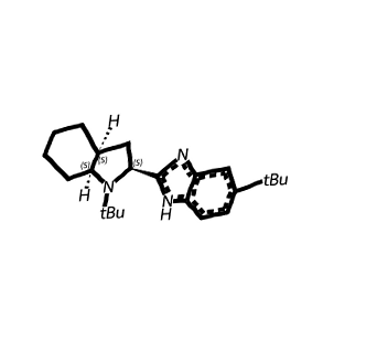 CC(C)(C)c1ccc2[nH]c([C@@H]3C[C@@H]4CCCC[C@@H]4N3C(C)(C)C)nc2c1